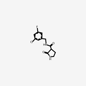 O=C1NCCC1C(=O)NCc1cc(F)cc(Cl)c1